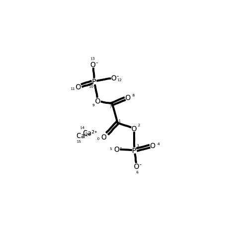 O=C(OP(=O)([O-])[O-])C(=O)OP(=O)([O-])[O-].[Ca+2].[Ca+2]